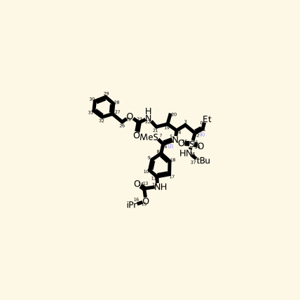 CC/C=C(\CC(/N=C(\SC)c1ccc(NC(=O)OC(C)C)cc1)C(C)CNC(=O)OCc1ccccc1)S(=O)(=O)NC(C)(C)C